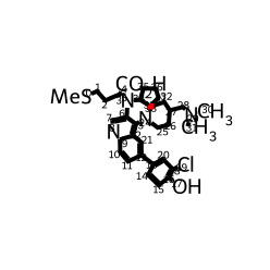 CSCC[C@@H](C(=O)O)N(c1cnc2ccc(-c3ccc(O)c(Cl)c3)cc2c1N1CCC(CN(C)C)CC1)C1CCCC1